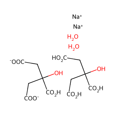 O.O.O=C(O)CC(O)(CC(=O)O)C(=O)O.O=C([O-])CC(O)(CC(=O)[O-])C(=O)O.[Na+].[Na+]